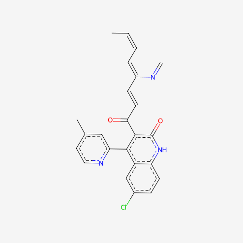 C=NC(=C\C=C/C)/C=C/C(=O)c1c(-c2cc(C)ccn2)c2cc(Cl)ccc2[nH]c1=O